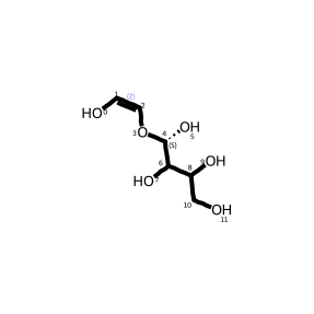 O/C=C\O[C@H](O)C(O)C(O)CO